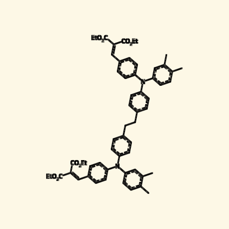 CCOC(=O)C(=Cc1ccc(N(c2ccc(CCc3ccc(N(c4ccc(C=C(C(=O)OCC)C(=O)OCC)cc4)c4ccc(C)c(C)c4)cc3)cc2)c2ccc(C)c(C)c2)cc1)C(=O)OCC